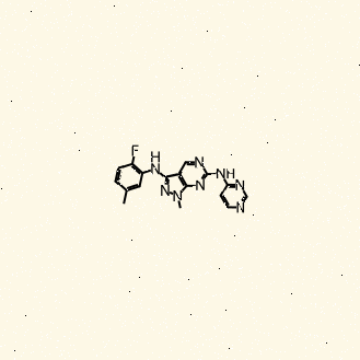 Cc1ccc(F)c(Nc2nn(C)c3nc(Nc4ccncn4)ncc23)c1